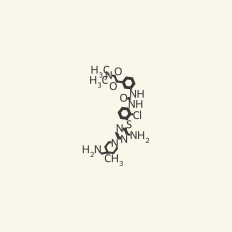 CN(C)C(=O)C(=O)c1cccc(NC(=O)Nc2cccc(Sc3ncc(N4CCC(C)(CN)CC4)nc3N)c2Cl)c1